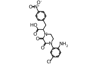 Nc1ccc(Cl)cc1N1CCN(C(Cc2ccc([N+](=O)[O-])cc2)C(=O)O)C(=O)C1=O